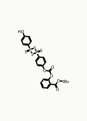 CC(C)(C)OC(=O)c1ccccc1OC(=O)Oc1ccc(P2(=S)SP(=S)(c3ccc(O)cc3)S2)cc1